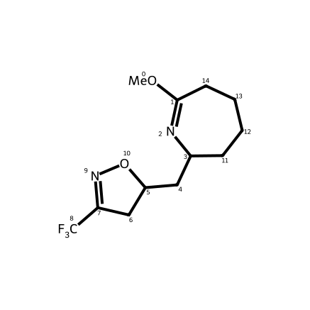 COC1=NC(CC2CC(C(F)(F)F)=NO2)CCCC1